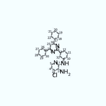 Nc1c(Cl)ccnc1Nc1cccc(-c2nc(-c3ccccc3)cc(-c3ccccc3)n2)c1